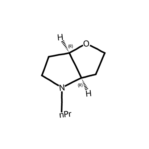 CCCN1CC[C@H]2OCC[C@H]21